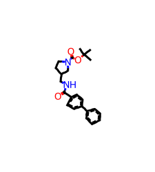 CC(C)(C)OC(=O)N1CCC(CNC(=O)c2ccc(-c3ccccc3)cc2)C1